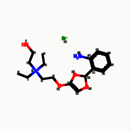 CC[N+](CC)(CCO)CCOC1=COC(c2ccccc2N)O1.[Br-]